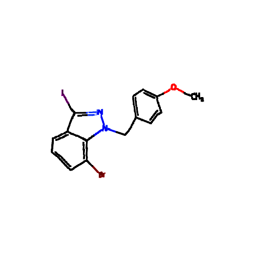 COc1ccc(Cn2nc(I)c3cccc(Br)c32)cc1